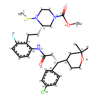 CCCSN1CCN(C(=O)OC(C)(C)C)C[C@@H]1CCc1c(F)cccc1NC(=O)C[C@@H](c1ccc(Cl)cc1)C1CCOC(C)(C)C1